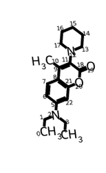 CCN(CC)c1ccc2c(C)c(N3CCCCC3)c(=O)oc2c1